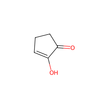 O=C1CCC=C1O